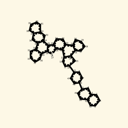 c1ccc2cc(-c3ccc(-c4ccc5c(c4)c4ccccc4c4ccc6c(sc7c8ccccc8c8cc9ccccc9cc8c67)c45)cc3)ccc2c1